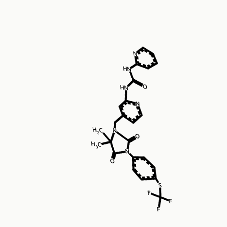 CC1(C)C(=O)N(c2ccc(SC(F)(F)F)cc2)C(=O)N1Cc1ccnc(NC(=O)Nc2ccccn2)c1